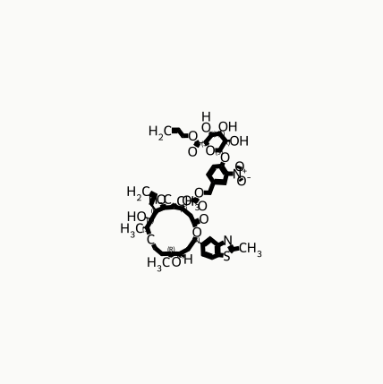 C=CCOC(=O)[C@H]1O[C@@H](Oc2ccc(COC(=O)O[C@H]3CC(=O)O[C@H](c4ccc5sc(C)nc5c4)C[C@@H]4O[C@]4(C)CCC[C@H](C)[C@H](O)[C@@H](CC=C)C(=O)C3(C)C)cc2[N+](=O)[O-])[C@H](O)[C@@H](O)[C@@H]1O